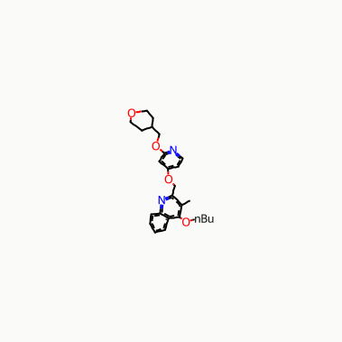 CCCCOc1c(C)c(COc2ccnc(OCC3CCOCC3)c2)nc2ccccc12